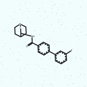 O=C(NC1CN2CCC1CC2)c1ccc(-c2cccc(F)c2)cc1